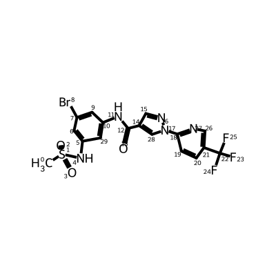 CS(=O)(=O)Nc1cc(Br)cc(NC(=O)c2cnn(-c3ccc(C(F)(F)F)cn3)c2)c1